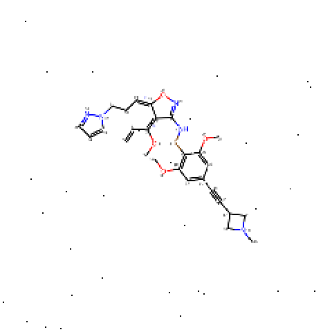 C=C/C(OC)=c1/c(NSc2c(OC)cc(C#CC3CN(C)C3)cc2OC)no/c1=C/CCn1cccn1